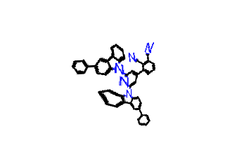 N#Cc1cccc(-c2cc(-n3c4ccccc4c4cc(-c5ccccc5)ccc43)nc(-n3c4ccccc4c4cc(-c5ccccc5)ccc43)c2)c1C#N